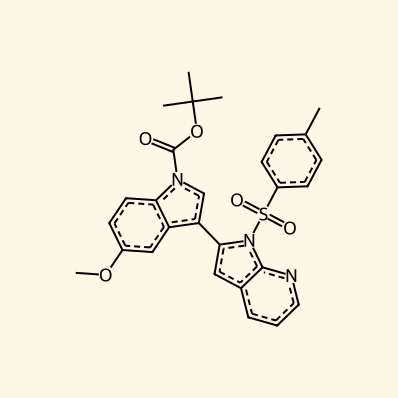 COc1ccc2c(c1)c(-c1cc3cccnc3n1S(=O)(=O)c1ccc(C)cc1)cn2C(=O)OC(C)(C)C